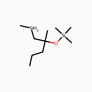 CCCC(C)(C[SiH2]C)O[Si](C)(C)C